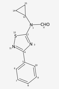 O=CN(c1nc(-c2ccccc2)ns1)C1CC1